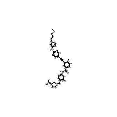 COCCCn1cc(Nc2ncc(C#Cc3cc(C(=O)Nc4ccc(CN5CC[C@@H](N(C)C)C5)c(F)c4)ccc3C)cn2)cn1